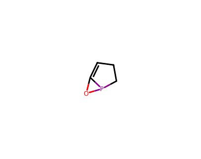 C1=C2OP2CC1